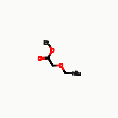 CCCCCOCC(=O)OCC